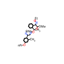 CCCOc1ccc(C(C=NOC(C)c2ccccc2C(=NOCC)C(=O)OC)=NOC)c(C)c1